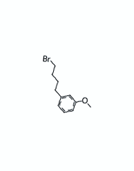 COc1cccc(CCCCBr)c1